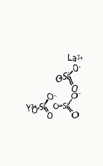 O=[Si]([O-])[O-].O=[Si]([O-])[O-].O=[Si]([O-])[O-].[La+3].[Y+3]